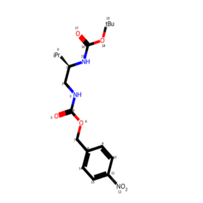 CC(C)[C@H](CNC(=O)OCc1ccc([N+](=O)[O-])cc1)NC(=O)OC(C)(C)C